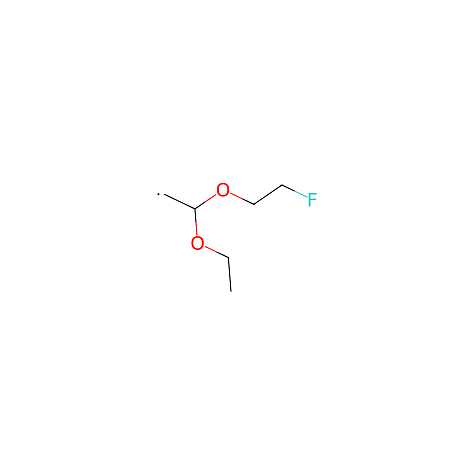 [CH2]C(OCC)OCCF